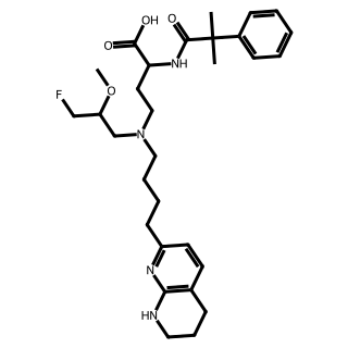 COC(CF)CN(CCCCc1ccc2c(n1)NCCC2)CCC(NC(=O)C(C)(C)c1ccccc1)C(=O)O